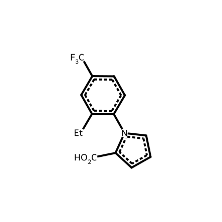 CCc1cc(C(F)(F)F)ccc1-n1cccc1C(=O)O